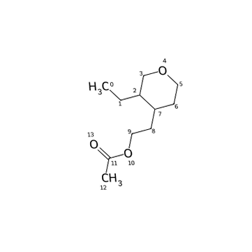 CCC1COCCC1CCOC(C)=O